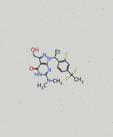 CC[C@@H](c1ccc(C(C)(F)F)cc1F)n1nc(CO)c2c(=O)[nH]c(N(C)C)nc21